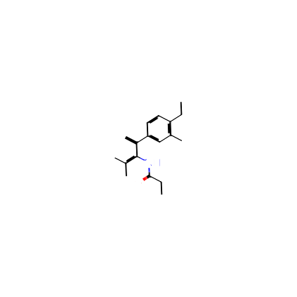 C=C(C(NC(=O)CC)=C(C)C)c1ccc(CC)c(C)c1